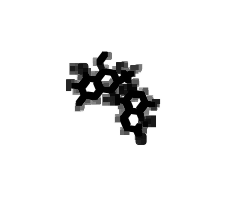 CC[C@H]1C[C@@](O)(C(F)(F)F)[C@@H](Nc2ccc(F)c3[nH]c(=O)ccc23)c2cc(C)c(F)c(O)c21